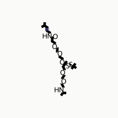 CC(C)/C=C/CNC(=O)CCOCCOCCOC(C)(CCOCCOCCNC(C)C)SSC(C)(C)C